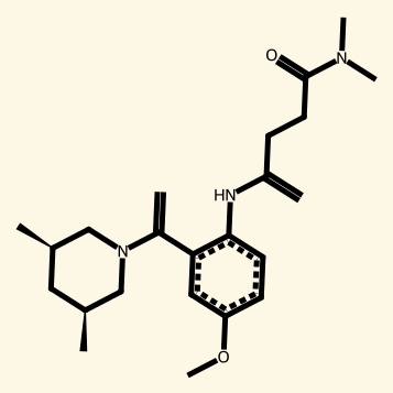 C=C(CCC(=O)N(C)C)Nc1ccc(OC)cc1C(=C)N1C[C@H](C)C[C@H](C)C1